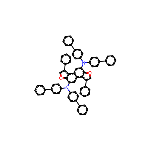 c1ccc(-c2ccc(N(c3ccc(-c4ccccc4)cc3)c3cc4c(cc(N(c5ccc(-c6ccccc6)cc5)c5ccc(-c6ccccc6)cc5)c5occ(-c6ccccc6)c54)c4c(-c5ccccc5)coc34)cc2)cc1